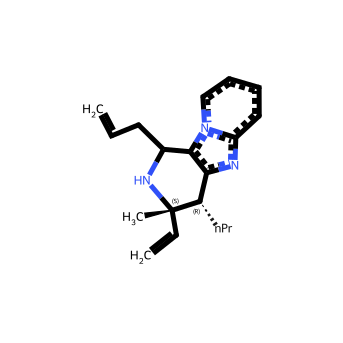 C=CCC1N[C@@](C)(C=C)[C@@H](CCC)c2nc3ccccn3c21